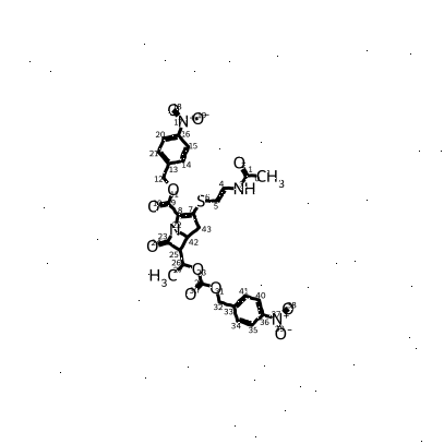 CC(=O)NC=CSC1=C(C(=O)OCc2ccc([N+](=O)[O-])cc2)N2C(=O)C(C(C)OC(=O)OCc3ccc([N+](=O)[O-])cc3)C2C1